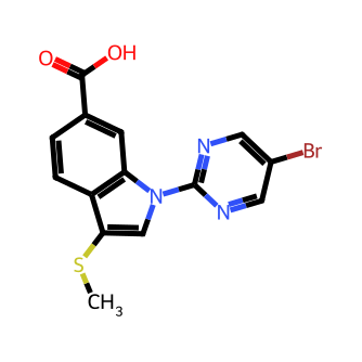 CSc1cn(-c2ncc(Br)cn2)c2cc(C(=O)O)ccc12